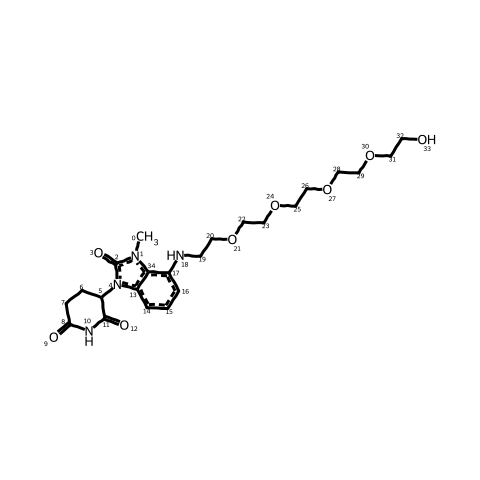 Cn1c(=O)n(C2CCC(=O)NC2=O)c2cccc(NCCOCCOCCOCCOCCO)c21